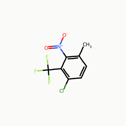 Cc1ccc(Cl)c(C(F)(F)F)c1[N+](=O)[O-]